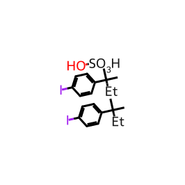 CCC(C)(C)c1ccc(I)cc1.CCC(C)(C)c1ccc(I)cc1.O=S(=O)(O)O